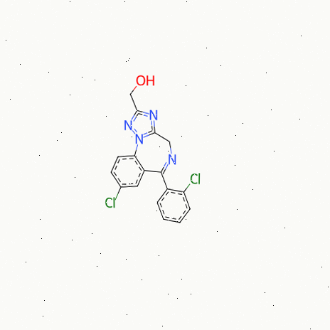 OCc1nc2n(n1)-c1ccc(Cl)cc1C(c1ccccc1Cl)=NC2